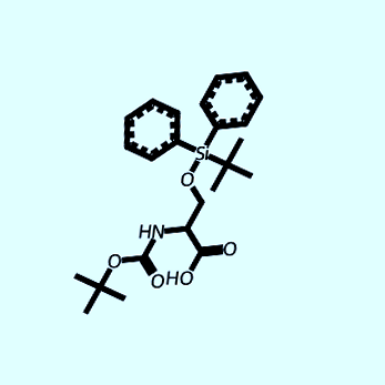 CC(C)(C)OC(=O)NC(CO[Si](c1ccccc1)(c1ccccc1)C(C)(C)C)C(=O)O